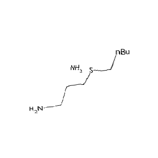 CCCCCSCCCN.N